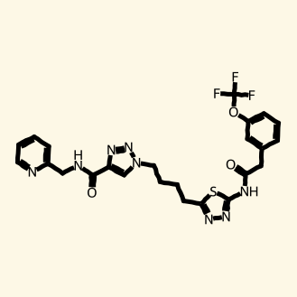 O=C(Cc1cccc(OC(F)(F)F)c1)Nc1nnc(CCCCn2cc(C(=O)NCc3ccccn3)nn2)s1